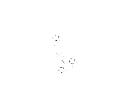 Cn1ccnc1NCCN1CCC(=C2c3ccn(C)c3CCn3ccnc32)CC1